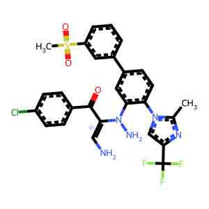 Cc1nc(C(F)(F)F)cn1-c1ccc(-c2cccc(S(C)(=O)=O)c2)cc1N(N)/C(=C\N)C(=O)c1ccc(Cl)cc1